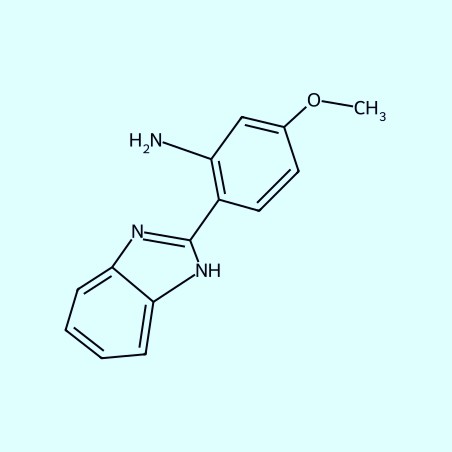 COc1ccc(-c2nc3ccccc3[nH]2)c(N)c1